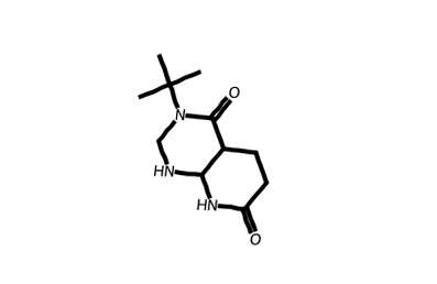 CC(C)(C)N1CNC2NC(=O)CCC2C1=O